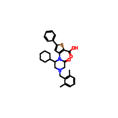 Cc1cccc(C)c1CN1CC(=O)N(c2cc(-c3ccccc3)sc2C(=O)O)C(C2CCCCC2)C1